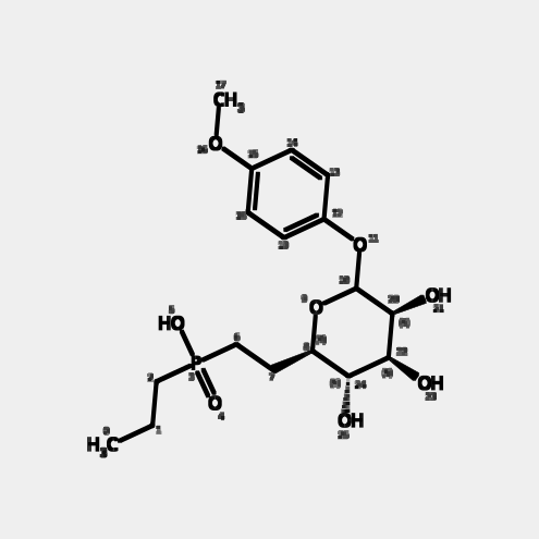 CCCP(=O)(O)CC[C@H]1OC(Oc2ccc(OC)cc2)[C@@H](O)[C@@H](O)[C@@H]1O